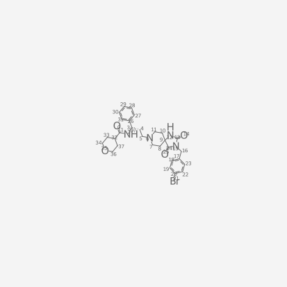 O=C(N[C@@H](CCN1CCC2(CC1)NC(=O)N(Cc1ccc(Br)cc1)C2=O)c1ccccc1)C1CCOCC1